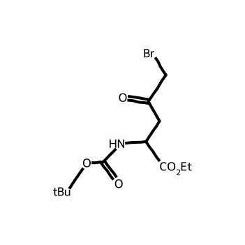 CCOC(=O)C(CC(=O)CBr)NC(=O)OC(C)(C)C